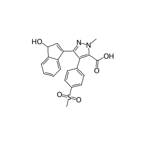 Cn1nc(C2=CC(O)c3ccccc32)c(-c2ccc(S(C)(=O)=O)cc2)c1C(=O)O